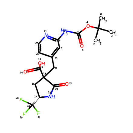 CC(C)(C)OC(=O)Nc1cc(CC2(C(=O)O)C[C@@H](C(F)(F)F)NC2=O)ccn1